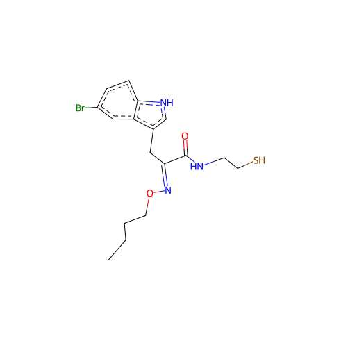 CCCCO/N=C(\Cc1c[nH]c2ccc(Br)cc12)C(=O)NCCS